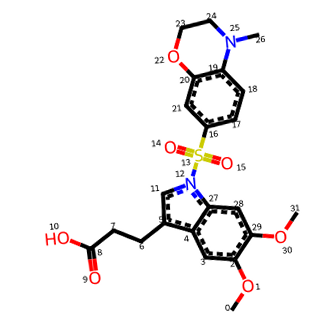 COc1cc2c(CCC(=O)O)cn(S(=O)(=O)c3ccc4c(c3)OCCN4C)c2cc1OC